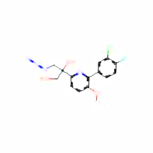 COc1ccc(C(O)(CO)CN=[N+]=[N-])nc1-c1ccc(F)c(Cl)c1